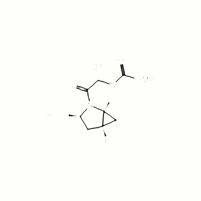 COC(=O)N[C@H](C(=O)N1[C@@H]2C[C@@H]2C[C@H]1C(=O)O)C(C)C